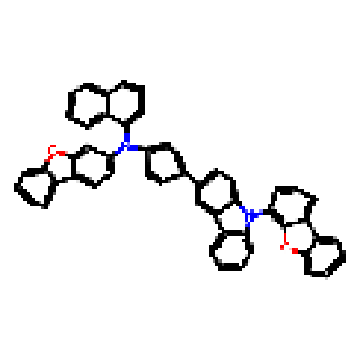 c1ccc2c(N(c3ccc(-c4ccc5c(c4)c4ccccc4n5-c4cccc5c4oc4ccccc45)cc3)c3ccc4c(c3)oc3ccccc34)cccc2c1